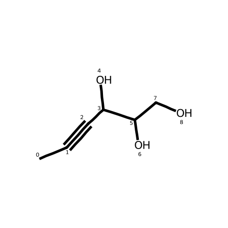 CC#CC(O)C(O)CO